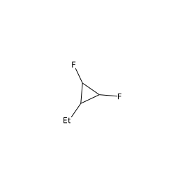 CCC1C(F)C1F